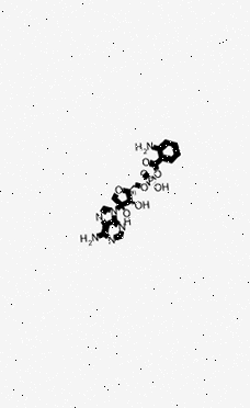 Nc1ccccc1C(=O)OP(=O)(O)OC[C@H]1OC[C@@](O)(n2cnc3c(N)ncnc32)[C@@H]1O